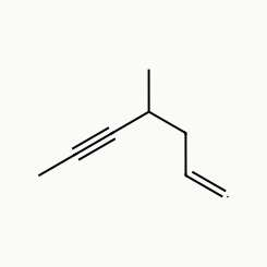 [CH]=CCC(C)C#CC